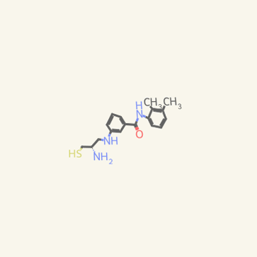 Cc1cccc(NC(=O)c2cccc(NC[C@H](N)CS)c2)c1C